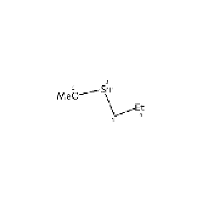 CC[CH2][Sn][O]C